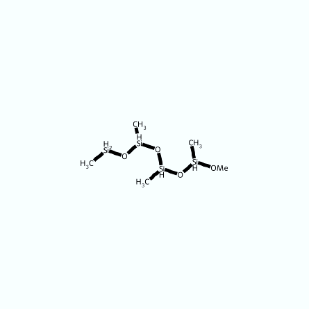 CO[SiH](C)O[SiH](C)O[SiH](C)O[SiH2]C